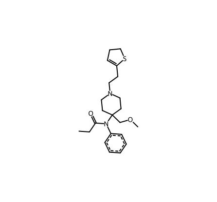 CCC(=O)N(c1ccccc1)C1(COC)CCN(CCC2=CCCS2)CC1